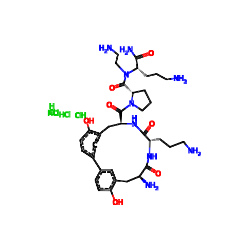 Cl.Cl.Cl.Cl.NCCC[C@@H]1NC(=O)[C@@H](N)Cc2cc(ccc2O)-c2ccc(O)c(c2)C[C@@H](C(=O)N2CCC[C@H]2C(=O)N(CCN)[C@@H](CCCN)C(N)=O)NC1=O